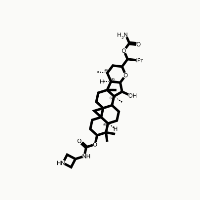 CC(C)C(OC(N)=O)C1C[C@@H](C)[C@H]2C(O1)C(O)[C@@]1(C)C3CC[C@H]4C(C)(C)C(OC(=O)NC5CNC5)CCC45CC35CCC21C